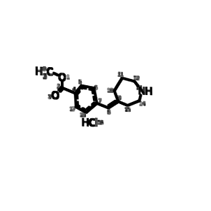 COC(=O)c1ccc(C=C2CCCNCC2)cc1.Cl